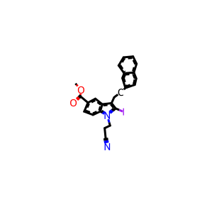 COC(=O)c1ccc2c(c1)c(CCc1ccc3ccccc3c1)c(I)n2CCC#N